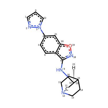 c1cnn(-c2ccc3c(N[C@@H]4CN5CCC4CC5)noc3c2)c1